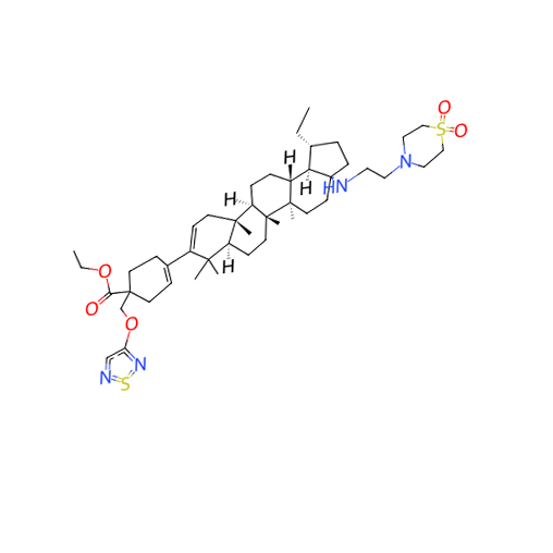 CCOC(=O)C1(COc2cnsn2)CC=C(C2=CC[C@]3(C)[C@H]4CC[C@@H]5[C@H]6[C@H](CC)CC[C@]6(NCCN6CCS(=O)(=O)CC6)CC[C@@]5(C)[C@]4(C)CC[C@H]3C2(C)C)CC1